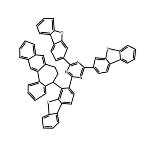 c1ccc2c(c1)-c1cc3ccccc3cc1CCC2c1c(-c2nc(-c3ccc4c(c3)oc3ccccc34)nc(-c3ccc4c(c3)sc3ccccc34)n2)ccc2c1oc1ccccc12